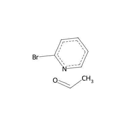 Brc1ccccn1.CC=O